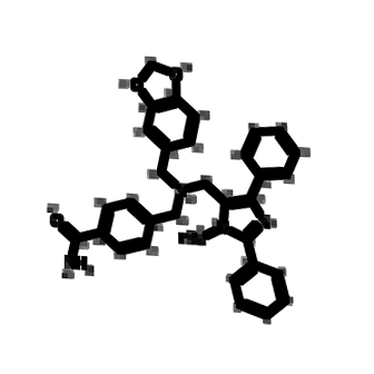 CCCCn1c(-c2ccccc2)nc(-c2ccccc2)c1CN(Cc1ccc(C(N)=O)cc1)Cc1ccc2c(c1)OCO2